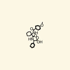 COc1ccc(C(=O)NC2(C(=O)N[C@H](C(=O)O)c3ccccc3)CCCCC2)cc1